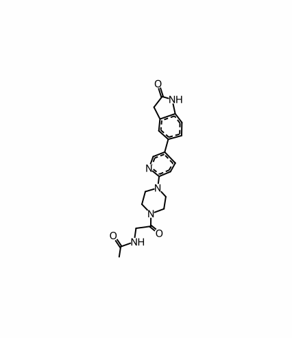 CC(=O)NCC(=O)N1CCN(c2ccc(-c3ccc4c(c3)CC(=O)N4)cn2)CC1